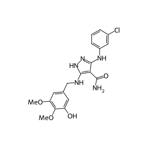 COc1cc(CNc2[nH]nc(Nc3cccc(Cl)c3)c2C(N)=O)cc(O)c1OC